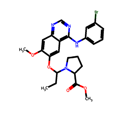 CCC(Oc1cc2c(Nc3cccc(Br)c3)ncnc2cc1OC)N1CCCC1C(=O)OC